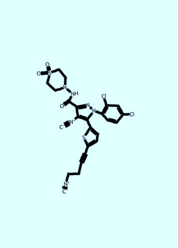 [C-]#[N+]CCC#Cc1ccc(-c2c([N+]#[C-])c(C(=O)NN3CCS(=O)(=O)CC3)nn2-c2ccc(Cl)cc2Cl)s1